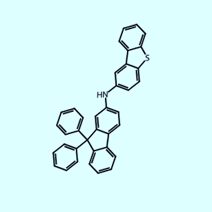 c1ccc(C2(c3ccccc3)c3ccccc3-c3ccc(Nc4ccc5sc6ccccc6c5c4)cc32)cc1